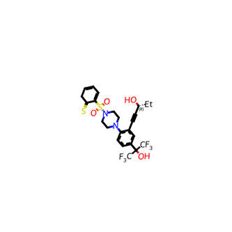 CC[C@@H](O)C#Cc1cc(C(O)(C(F)(F)F)C(F)(F)F)ccc1N1CCN(S(=O)(=O)C2=CC=CCC2=S)CC1